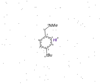 CNCc1ccc(C(C)(C)C)cc1.I